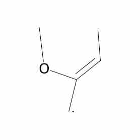 [CH2]C(=CC)OC